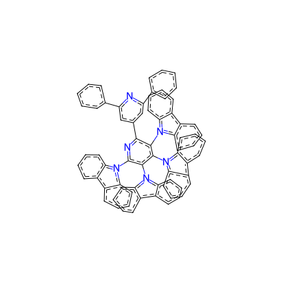 c1ccc(-c2cc(-c3nc(-n4c5ccccc5c5ccccc54)c(-n4c5ccccc5c5ccccc54)c(-n4c5ccccc5c5ccccc54)c3-n3c4ccccc4c4ccccc43)cc(-c3ccccc3)n2)cc1